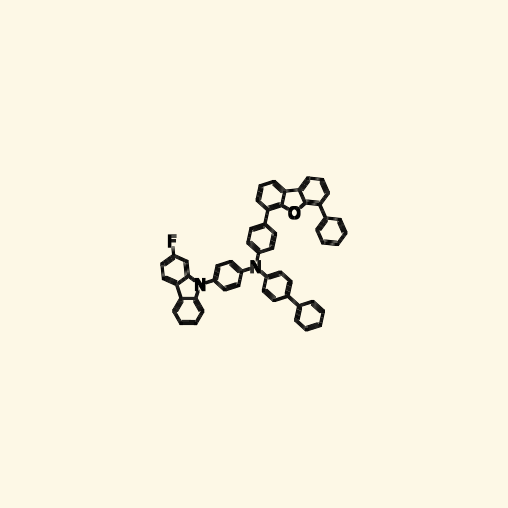 Fc1ccc2c3ccccc3n(-c3ccc(N(c4ccc(-c5ccccc5)cc4)c4ccc(-c5cccc6c5oc5c(-c7ccccc7)cccc56)cc4)cc3)c2c1